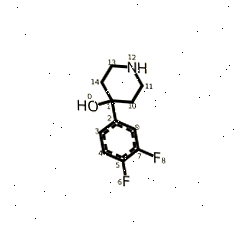 OC1(c2ccc(F)c(F)c2)CCNCC1